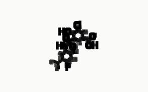 CC(C)c1cc(NS(=O)(=O)c2cc(C(=O)O)cc(Cl)c2O)c(F)cc1F